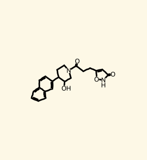 O=C(CCc1cc(=O)[nH]o1)N1CCC(c2ccc3ccccc3c2)C(O)C1